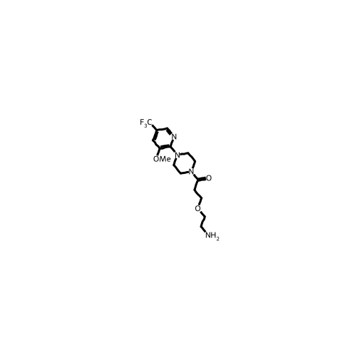 COc1cc(C(F)(F)F)cnc1N1CCN(C(=O)CCOCCN)CC1